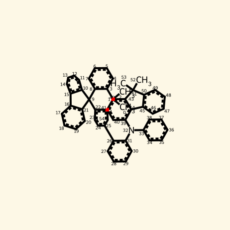 CC1(C)c2ccccc2C2(c3ccccc3-c3ccccc32)c2ccc(-c3ccccc3N(c3ccccc3)c3cccc4c3-c3ccccc3C4(C)C)cc21